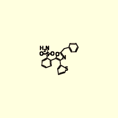 NS(=O)(=O)c1ccccc1-c1oc(Cc2ccccc2)nc1-c1cccs1